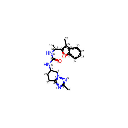 Cc1nc2n(n1)CC(NC(=O)N[C@@H](C)c1oc3ccccc3c1C)CC2